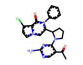 CC(=O)c1cnc(N)nc1N1CCCC1c1cn2ccc(Cl)c2c(=O)n1-c1ccccc1